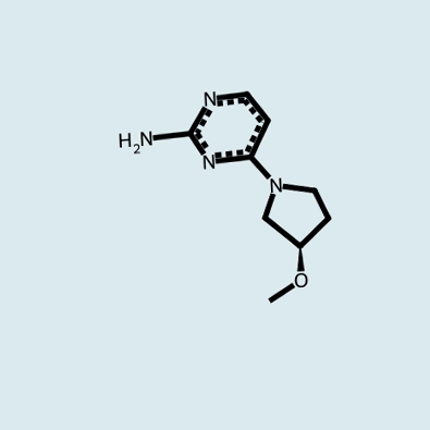 CO[C@@H]1CCN(c2ccnc(N)n2)C1